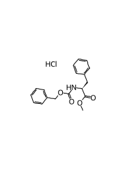 COC(=O)[C@H](Cc1ccccc1)NC(=O)OCc1ccccc1.Cl